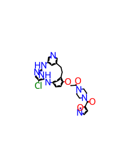 O=C(COc1ccc2cc1CCc1cncc(c1)Nc1ncc(Cl)c(n1)N2)N1CCN(C(=O)c2ccno2)CC1